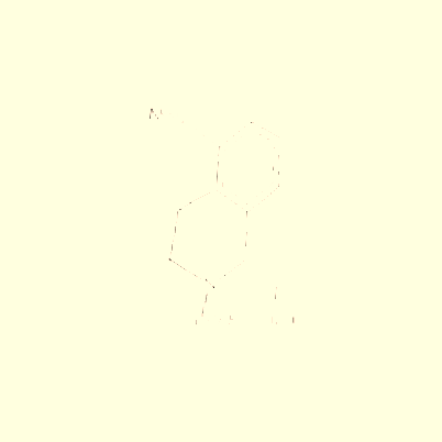 CSc1cccc2c1CCN(C(=O)O)[C@H]2CC(C)(C)C